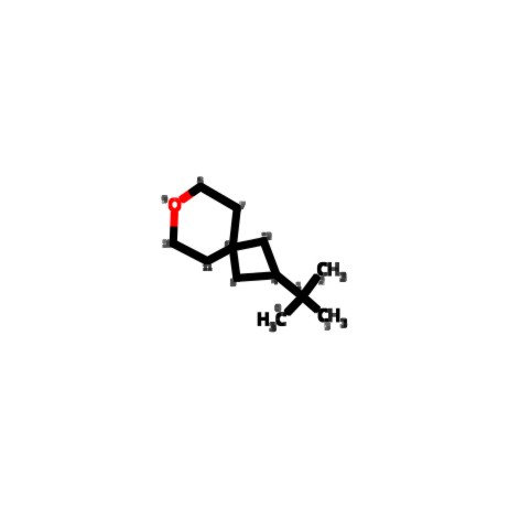 CC(C)(C)C1CC2(CCOCC2)C1